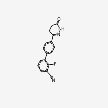 N#Cc1cccc(-c2ccc(C3=NNC(=O)CC3)cc2)c1F